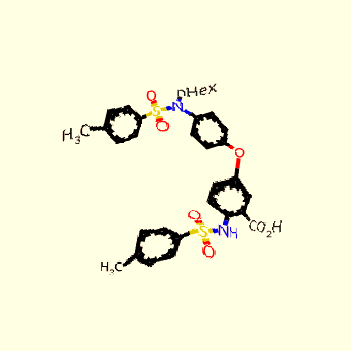 CCCCCCN(c1ccc(Oc2ccc(NS(=O)(=O)c3ccc(C)cc3)c(C(=O)O)c2)cc1)S(=O)(=O)c1ccc(C)cc1